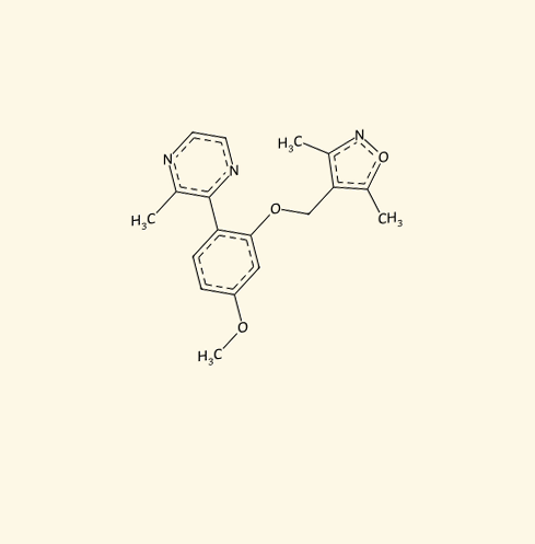 COc1ccc(-c2nccnc2C)c(OCc2c(C)noc2C)c1